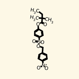 CCC(C)(C)C(=O)Oc1ccc(S(=O)(=O)OCc2ccc([N+](=O)[O-])cc2)cc1